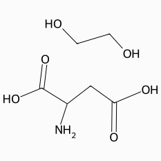 NC(CC(=O)O)C(=O)O.OCCO